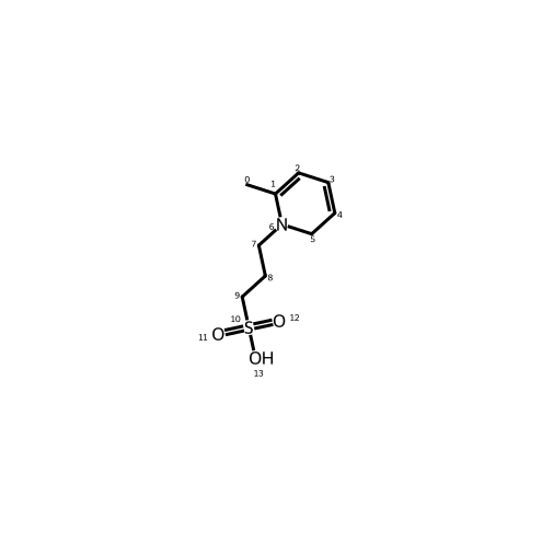 CC1=CC=CCN1CCCS(=O)(=O)O